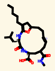 CCCCCC1=C2N[C@@H](CC(C)C)C(=O)N[C@H](C(=O)O)CC(C(=O)NC)C/C=C/CCC(C1)O2